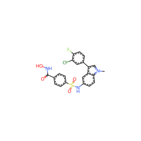 Cn1cc(-c2ccc(F)c(Cl)c2)c2cc(NS(=O)(=O)c3ccc(C(=O)NO)cc3)ccc21